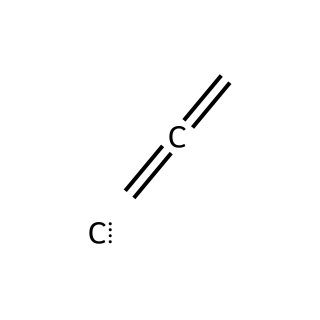 C=C=C.[C]